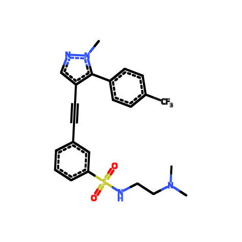 CN(C)CCNS(=O)(=O)c1cccc(C#Cc2cnn(C)c2-c2ccc(C(F)(F)F)cc2)c1